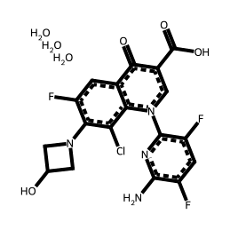 Nc1nc(-n2cc(C(=O)O)c(=O)c3cc(F)c(N4CC(O)C4)c(Cl)c32)c(F)cc1F.O.O.O